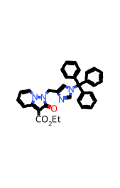 CCOC(=O)c1c(=O)n(Cc2cn(C(c3ccccc3)(c3ccccc3)c3ccccc3)cn2)n2ccccc12